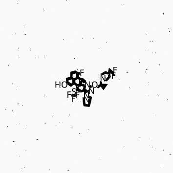 C#Cc1c(F)ccc2cc(O)cc(-c3c(SC(F)(F)F)cc4c(N5CC6CCC(C5)N6)nc(OCC5(CN6CCC7(CC6)CC7(F)F)CC5)nc4c3F)c12